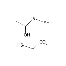 CC(O)SS.O=C(O)CS